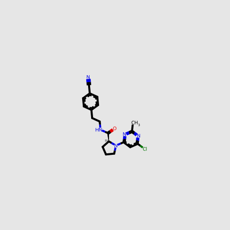 Cc1nc(Cl)cc(N2CCC[C@H]2C(=O)NCCc2ccc(C#N)cc2)n1